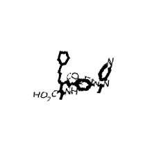 CCOC(=O)C1=C(c2ccc(-n3c(C)nc4cnccc43)cc2)NC(C)=C(C(=O)O)C1CCCC1CCCCC1